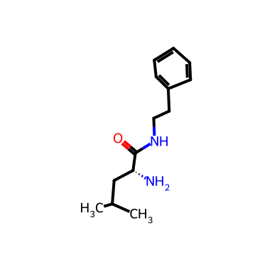 CC(C)C[C@@H](N)C(=O)NCCc1ccccc1